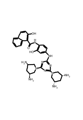 N[C@@H]1C[C@H](N)CN(c2nc(Nc3ccc(NC(=O)c4c(O)ccc5ccccc45)c(O)c3)nc(N3C[C@H](N)C[C@H](N)C3)n2)C1